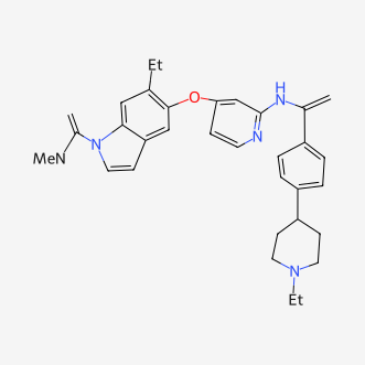 C=C(Nc1cc(Oc2cc3ccn(C(=C)NC)c3cc2CC)ccn1)c1ccc(C2CCN(CC)CC2)cc1